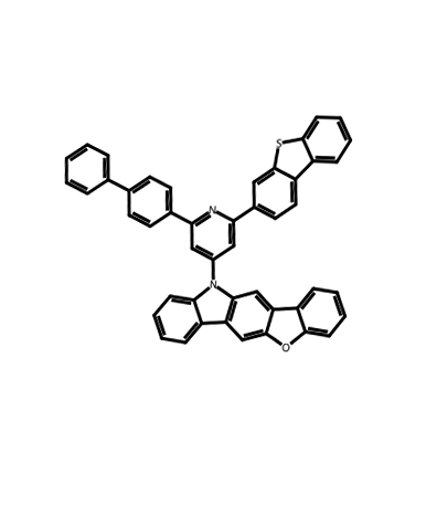 c1ccc(-c2ccc(-c3cc(-n4c5ccccc5c5cc6oc7ccccc7c6cc54)cc(-c4ccc5c(c4)sc4ccccc45)n3)cc2)cc1